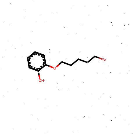 Oc1ccccc1OCCCCCBr